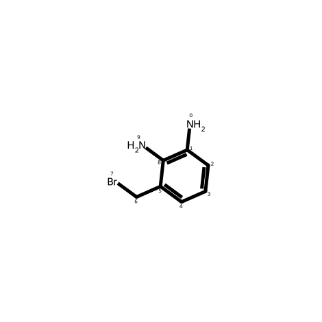 Nc1cccc(CBr)c1N